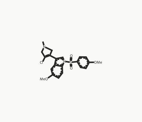 COc1ccc(S(=O)(=O)n2cc(C3=C(Cl)CN(C)C3)c3cc(OC)ccc32)cc1